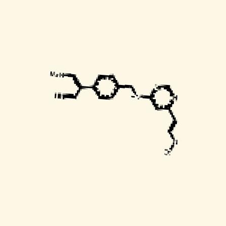 CCO/C=C/c1cc(NCc2ccc(/C(C=N)=C/NC)cc2)ncn1